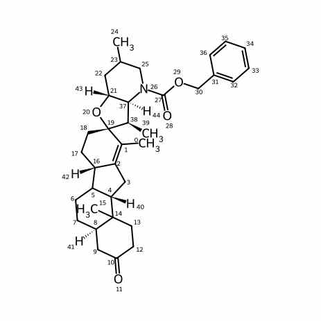 CC1=C2C[C@H]3C(CC[C@@H]4CC(=O)CCC43C)[C@@H]2CC[C@]12O[C@@H]1CC(C)CN(C(=O)OCc3ccccc3)[C@H]1[C@H]2C